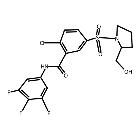 O=C(Nc1cc(F)c(F)c(F)c1)c1cc(S(=O)(=O)N2CCCC2CO)ccc1Cl